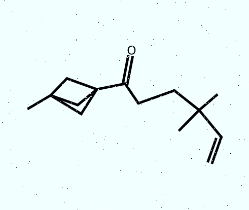 C=CC(C)(C)CCC(=O)C12CC(C)(C1)C2